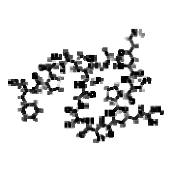 CC[C@H](C)[C@H](NC(=O)[C@@H](NC(=O)[C@H](CCCNC(=N)N)NC(=O)[C@@H]1CCCN1C(=O)[C@H](CC(C)C)NC(=O)[C@H](CCCCN)NC(=O)[C@H](C)N)C(C)C)C(=O)NCC(=O)N[C@H](C(=O)N[C@@H](CO)C(=O)N[C@H](C(=O)N1CCC[C@H]1C(=O)N[C@@H](Cc1ccccc1)C(=O)O)[C@@H](C)CC)C(C)C